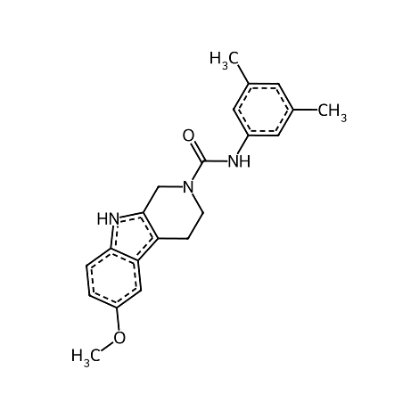 COc1ccc2[nH]c3c(c2c1)CCN(C(=O)Nc1cc(C)cc(C)c1)C3